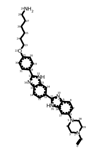 C=CN1CCN(c2ccc3nc(-c4ccc5nc(-c6ccc(OCCCCCCN)cc6)[nH]c5c4)[nH]c3c2)CC1